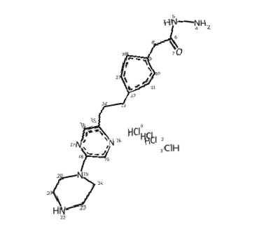 Cl.Cl.Cl.Cl.NNC(=O)Cc1ccc(CCc2cnc(N3CCNCC3)cn2)cc1